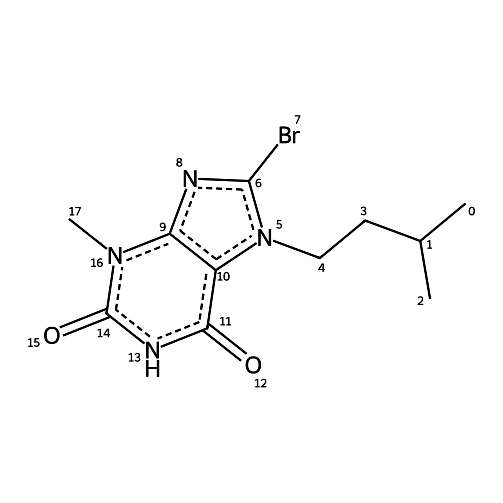 CC(C)CCn1c(Br)nc2c1c(=O)[nH]c(=O)n2C